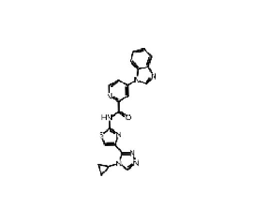 O=C(Nc1nc(-c2nncn2C2CC2)cs1)c1cc(-n2cnc3ccccc32)ccn1